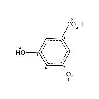 O=C(O)c1cccc(O)c1.[Cu]